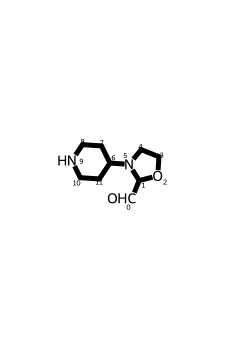 O=CC1OCCN1C1CCNCC1